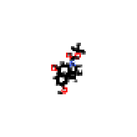 COc1ccc2c(c1)[C@@]13C#C[C@@H]1CN(C(=O)OC(C)(C)C)C3=CC2=O